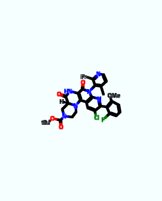 COc1cccc(F)c1-c1nc2c(cc1Cl)c1c(c(=O)n2-c2c(C)ccnc2C(C)C)NC(=O)[C@H]2CN(C(=O)OC(C)(C)C)CCN12